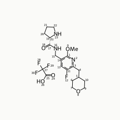 COc1nc(CC2CCOCC2)c(F)cc1CNC(=O)[C@@H]1CCCN1.O=C(O)C(F)(F)F